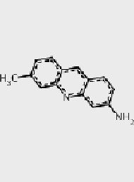 Cc1ccc2cc3ccc(N)cc3nc2c1